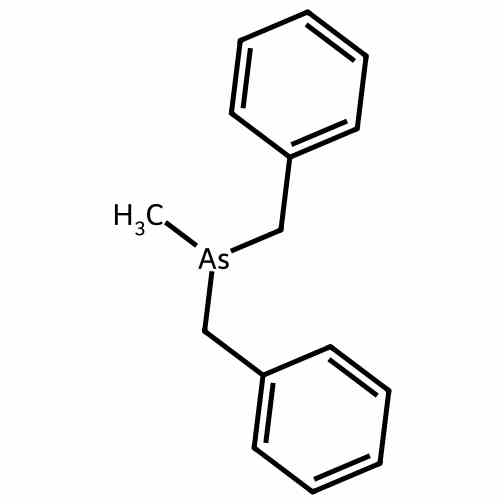 C[As](Cc1ccccc1)Cc1ccccc1